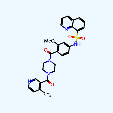 COc1cc(NS(=O)(=O)c2cccc3cccnc23)ccc1C(=O)N1CCN(C(=O)c2cnccc2C(F)(F)F)CC1